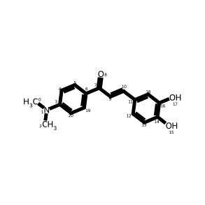 CN(C)c1ccc(C(=O)C=Cc2ccc(O)c(O)c2)cc1